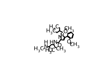 CCNC(=O)CC(NC(=O)c1cc(-c2c(OC)cccc2OC)n(CC(CC)CC)n1)C(C)C